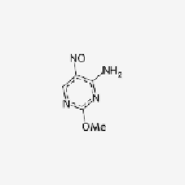 COc1ncc(N=O)c(N)n1